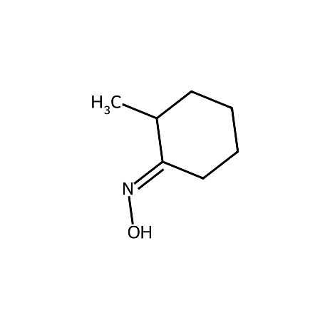 CC1CCCCC1=NO